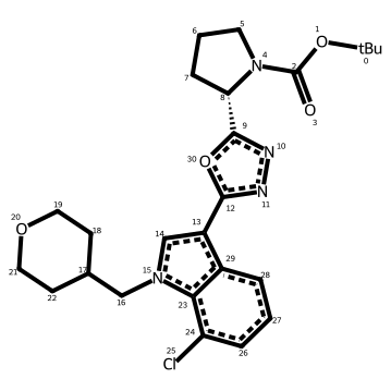 CC(C)(C)OC(=O)N1CCC[C@H]1c1nnc(-c2cn(CC3CCOCC3)c3c(Cl)cccc23)o1